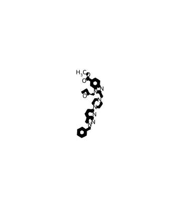 COC(=O)c1ccc2nc(CN3CCN(c4ccc5cn(Cc6ccccc6)nc5n4)CC3)n(C[C@@H]3CCO3)c2c1